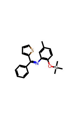 Cc1ccc(O[Si](C)(C)C)c(N=C(c2ccccc2)c2cccs2)c1